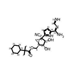 CC(C)(C(=O)OC[C@H]1O[C@@](C#N)(c2ccc(/C(N)=N\C=N)[nH]2)[C@H](O)[C@@H]1O)C1CCCCC1